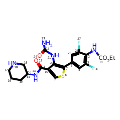 CCOC(=O)Nc1c(F)cc(-c2scc(C(=O)N[C@H]3CCCNC3)c2NC(N)=O)cc1F